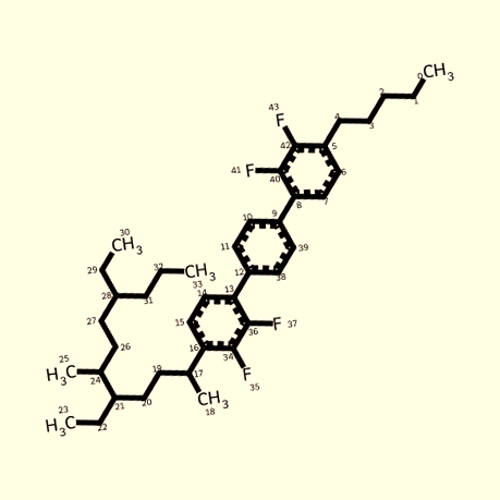 CCCCCc1ccc(-c2ccc(-c3ccc(C(C)CCC(CC)C(C)CCC(CC)CCC)c(F)c3F)cc2)c(F)c1F